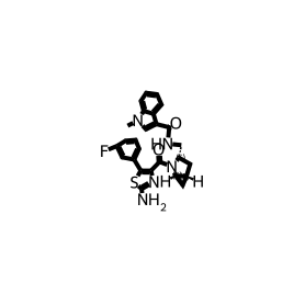 Cn1cc(C(=O)NC[C@@H]2C[C@@H]3C[C@@H]3N2C(=O)c2nc(N)sc2-c2cccc(F)c2)c2ccccc21